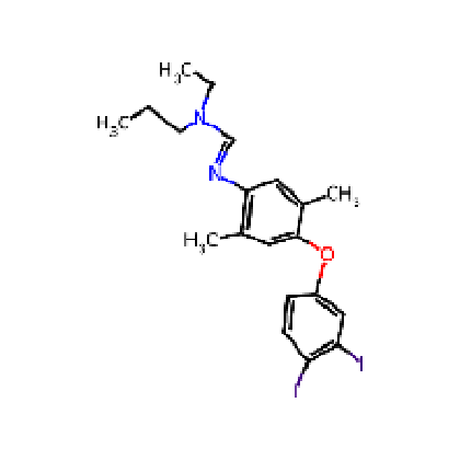 CCCN(/C=N/c1cc(C)c(Oc2ccc(I)c(I)c2)cc1C)CC